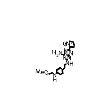 COCCNc1ccc(CCNc2nc(N)n3nc(-c4cccc[n+]4[O-])nc3n2)cc1